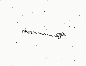 CCCCCC=CCC=CCC=CCC=CCCCC(=O)OCCCC